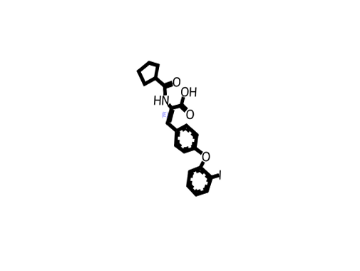 O=C(O)/C(=C\c1ccc(Oc2ccccc2I)cc1)NC(=O)C1CCCC1